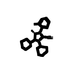 Cc1ccccc1N1C(C(C)(C)C)N(C2CCCCC2)C(C2CCCCC2)[C@@H]1C